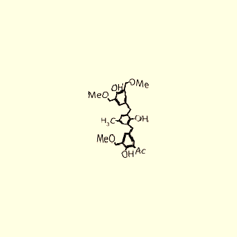 COCc1cc(Cc2cc(C)cc(Cc3cc(COC)c(O)c(C(C)=O)c3)c2O)cc(COC)c1O